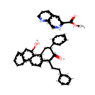 COC(=O)c1cc2cccnc2cn1.O=C1C(c2ccccc2)Cc2c(ccc3c2c(O)cc2ccccc23)C1CCc1ccccc1